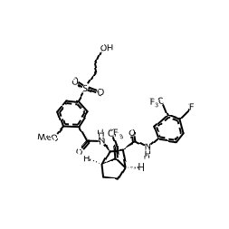 COc1ccc(S(=O)(=O)CCO)cc1C(=O)N[C@H]1[C@@H](C(=O)Nc2ccc(F)c(C(F)(F)F)c2)[C@H]2CC[C@@H]1/C2=C\C(F)(F)F